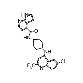 O=C(N[C@H]1CC[C@@H](Nc2cc(C(F)(F)F)nc3ccc(Cl)cc23)CC1)c1ccnc2[nH]ccc12